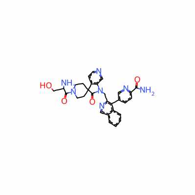 NC(=O)c1ccc(-c2c(CN3C(=O)C4(CCN(C(=O)C(N)CO)CC4)c4ccncc43)ncc3ccccc23)cn1